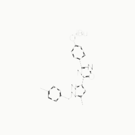 CCC(C)Oc1ccc(-c2noc(-c3cc(C)n(Cc4ccc(C)cc4)n3)n2)cc1